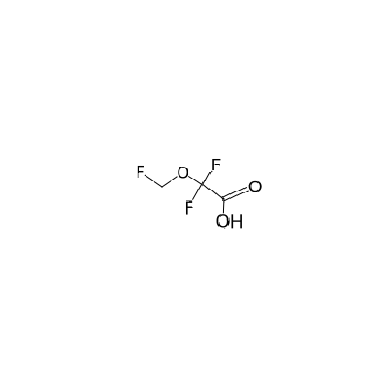 O=C(O)C(F)(F)OCF